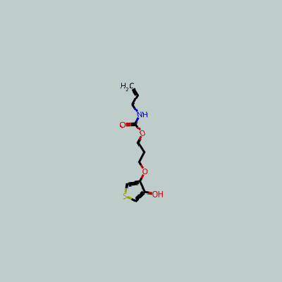 C=CCNC(=O)OCCCOc1cscc1O